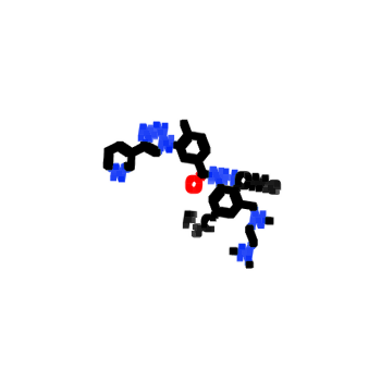 COc1c(CN(C)CCN(C)C)cc(C(F)(F)F)cc1NC(=O)c1ccc(C)c(-n2cc(-c3cccnc3)nn2)c1